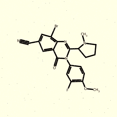 COc1ccc(-n2c(C3CCCN3C)nc3c(Br)cc(C#N)cc3c2=O)cc1F